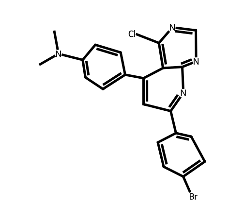 CN(C)c1ccc(-c2cc(-c3ccc(Br)cc3)nc3ncnc(Cl)c23)cc1